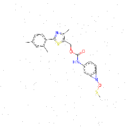 CSON1c2ccc(NC(=O)OCc3sc(-c4ccc(C)cc4C)nc3C)cc21